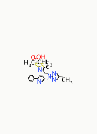 CCc1cnc(N(CCc2nc(SC(C)(C)C(=O)O)sc2C)Cc2ccc(-c3ccccc3)nc2)nc1